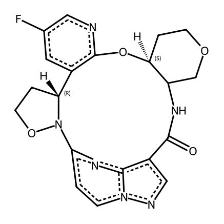 O=C1NC2COCC[C@@H]2Oc2ncc(F)cc2[C@H]2CCON2c2ccn3ncc1c3n2